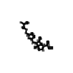 CC(=O)OCCn1cc(C=C2C(=O)N3C(C(=O)O)=CS[C@H]23)nn1